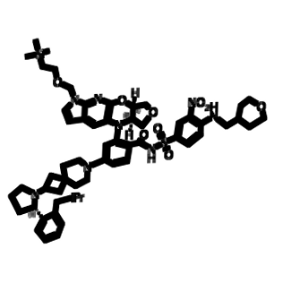 CC(C)Cc1ccccc1[C@@H]1CCCN1C1CC2(CCN(c3ccc(C(=O)NS(=O)(=O)c4ccc(NCC5CCOCC5)c([N+](=O)[O-])c4)c(N4c5cc6ccn(COCC[Si](C)(C)C)c6nc5O[C@@H]5COC[C@H]54)c3)CC2)C1